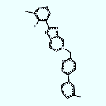 Fc1cccc(-c2ccc(Cn3cc4nc(-c5cccc(F)c5F)nc-4cn3)nn2)c1